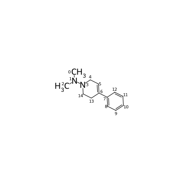 CN(C)N1CC=C(c2ccccc2)CC1